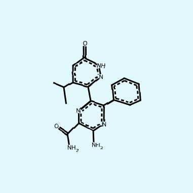 CC(C)c1cc(=O)[nH]nc1-c1nc(C(N)=O)c(N)nc1-c1ccccc1